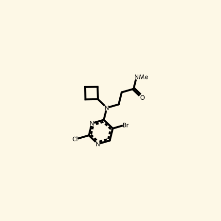 CNC(=O)CCN(c1nc(Cl)ncc1Br)C1CCC1